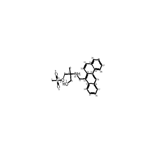 CC(CO)(COS(C)(=O)=O)NCc1c2ccccc2cc2c1ccc1ccccc12